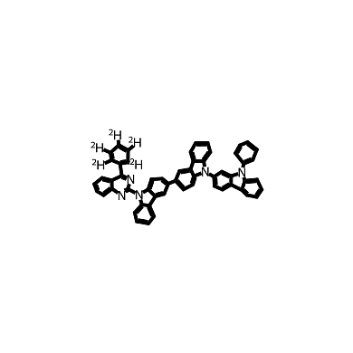 [2H]c1c([2H])c([2H])c(-c2nc(-n3c4ccccc4c4cc(-c5ccc6c(c5)c5ccccc5n6-c5ccc6c7ccccc7n(-c7ccccc7)c6c5)ccc43)nc3ccccc23)c([2H])c1[2H]